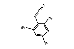 CC(C)c1cc(C(C)C)c(N=C=S)c(C(C)C)c1